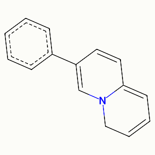 C1=CCN2C=C(c3ccccc3)C=CC2=C1